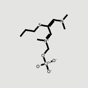 CCCSC(=CN(C)C)C=[N+](C)CO[Cl+3]([O-])([O-])[O-]